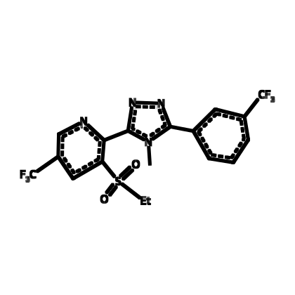 CCS(=O)(=O)c1cc(C(F)(F)F)cnc1-c1nnc(-c2cccc(C(F)(F)F)c2)n1C